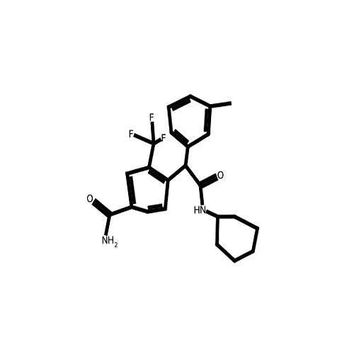 Cc1cccc(C(C(=O)NC2CCCCC2)c2ccc(C(N)=O)cc2C(F)(F)F)c1